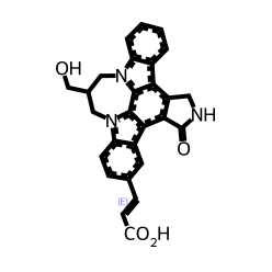 O=C(O)/C=C/c1ccc2c(c1)c1c3c(c4c5ccccc5n5c4c1n2CC(CO)C5)CNC3=O